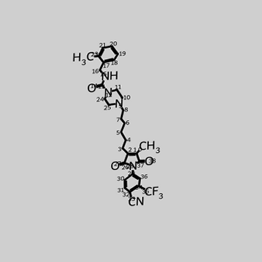 CC1=C(CCCCCCN2CCN(C(=O)NCc3ccccc3C)CC2)C(=O)N(c2ccc(C#N)c(C(F)(F)F)c2)C1=O